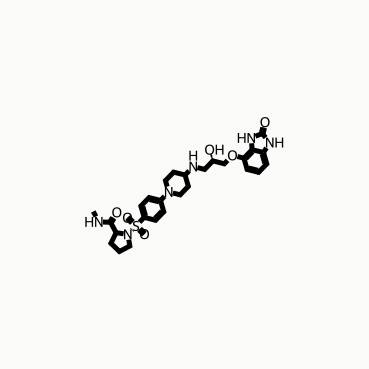 CNC(=O)C1CCCN1S(=O)(=O)c1ccc(N2CCC(NC[C@H](O)COc3cccc4[nH]c(=O)[nH]c34)CC2)cc1